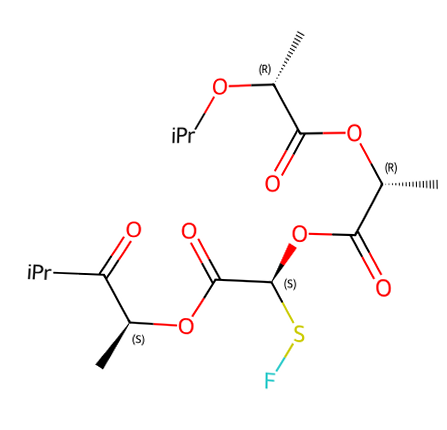 CC(C)O[C@H](C)C(=O)O[C@H](C)C(=O)O[C@@H](SF)C(=O)O[C@@H](C)C(=O)C(C)C